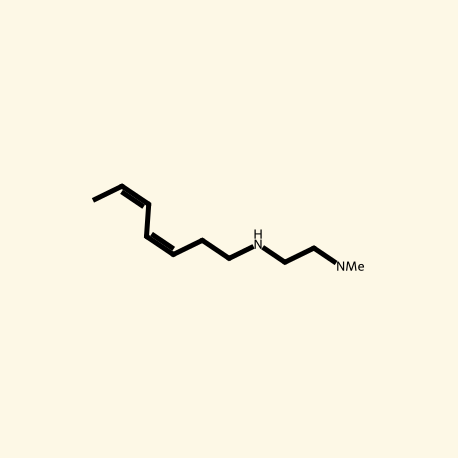 C/C=C\C=C/CCNCCNC